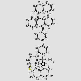 CC1(C)c2ccc(-c3ccc(-c4c5ccccc5c(-c5cccc6ccccc56)c5ccccc45)cc3)cc2-c2ccc3sc4ccc5ccccc5c4c3c21